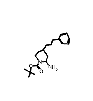 CC(C)(C)OC(=O)N1CCC(CCCc2ccccc2)CC1N